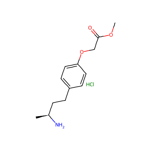 COC(=O)COc1ccc(CC[C@H](C)N)cc1.Cl